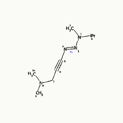 CC(C)N(C)/N=N/C#CCN(C)C